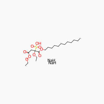 CCCCCCCCCCCCOC(=O)C(CC(=O)OOCC)(OCC)S(=O)(=O)O.[NaH].[NaH]